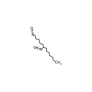 CCCCCCCC(CCCCCN=C=O)N=C=O